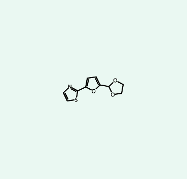 c1csc(-c2ccc(C3OCCO3)o2)n1